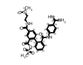 C[S+]([O-])CCNC(=O)c1ccc(-c2ccccc2C(=O)Nc2ccc(C(=N)N)cc2)c(C(=O)OS(C)(=O)=O)c1